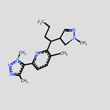 Cc1ccc(-c2c(C)nnn2C)nc1C(CCC(F)(F)F)C1C=NN(C)C1